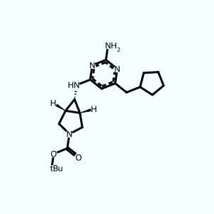 CC(C)(C)OC(=O)N1C[C@@H]2[C@H](C1)[C@@H]2Nc1cc(CC2CCCC2)nc(N)n1